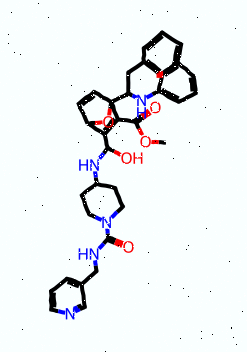 COC(=O)C1=C(C(O)NC2CCN(C(=O)NCc3cccnc3)CC2)C2C=CC1(C(Cc1ccccc1)Nc1ccccc1)O2